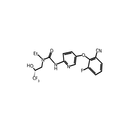 CCN(C[C@@H](O)C(F)(F)F)C(=O)Nc1ccc(Oc2c(F)cccc2C#N)cn1